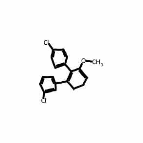 COC1=CC[CH]C(c2cccc(Cl)c2)=C1c1ccc(Cl)cc1